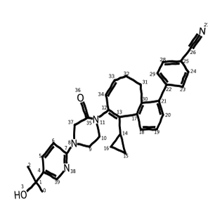 CC(C)(O)c1ccc(N2CCN(C3=C(\C4CC4)c4cccc(-c5ccc(C#N)cc5)c4CC/C=C\3)C(=O)C2)nc1